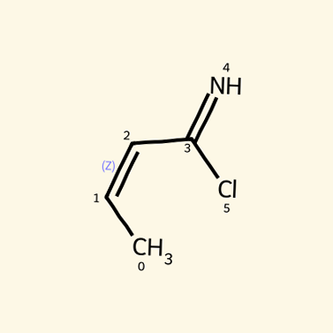 C/C=C\C(=N)Cl